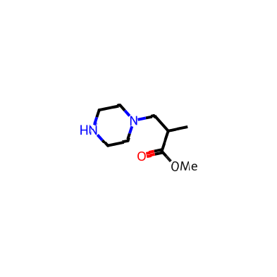 COC(=O)C(C)CN1CCNCC1